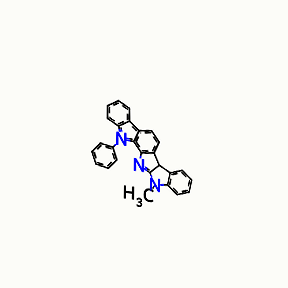 CN1C2=Nc3c(ccc4c5ccccc5n(-c5ccccc5)c34)C2c2ccccc21